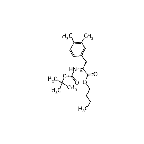 CCCCOC(=O)[C@H](Cc1ccc(C)c(C)c1)NC(=O)OC(C)(C)C